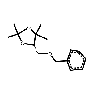 CC1(C)O[C@@H](COCc2ccccc2)C(C)(C)O1